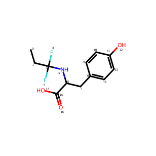 CCC(F)(F)NC(Cc1ccc(O)cc1)C(=O)O